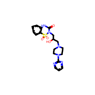 O=C1Nc2ccccc2S(=O)(=O)N1CC(O)CN1CCN(c2ncccn2)CC1